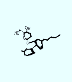 CCCCCc1ccc([C@@H]2C=C(C)CCC2)c(O[C@H]2CC[C@H](O)[C@@H](CO)O2)c1